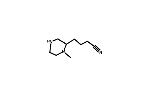 CN1CCNCC1CCCC#N